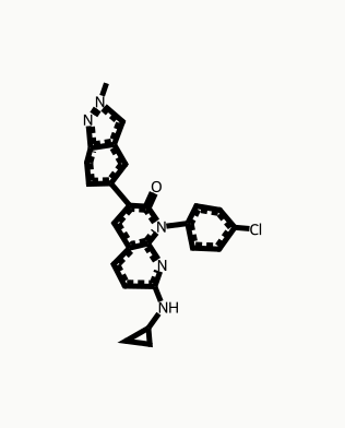 Cn1cc2cc(-c3cc4ccc(NC5CC5)nc4n(-c4ccc(Cl)cc4)c3=O)ccc2n1